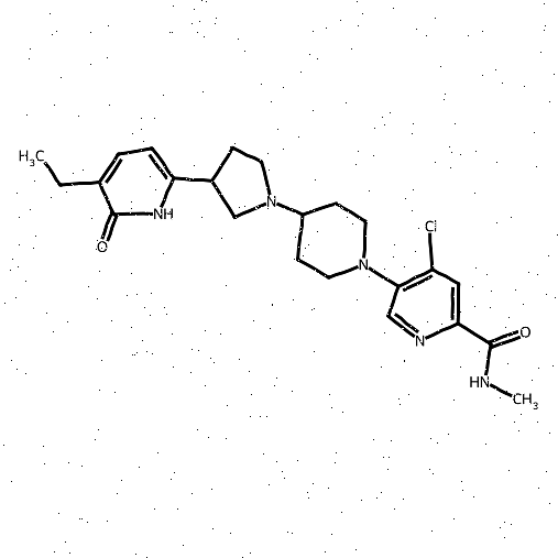 CCc1ccc(C2CCN(C3CCN(c4cnc(C(=O)NC)cc4Cl)CC3)C2)[nH]c1=O